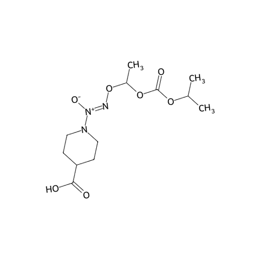 CC(C)OC(=O)OC(C)O/N=[N+](\[O-])N1CCC(C(=O)O)CC1